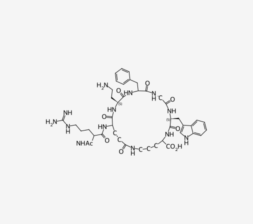 CC(=O)NC(CCCNC(=N)N)C(=O)NC1CCC(=O)NCCCC(C(=O)O)NC(=O)[C@H](Cc2c[nH]c3ccccc23)NC(=O)CNC(=O)C(Cc2ccccc2)NC(=O)[C@H](CCN)NC1=O